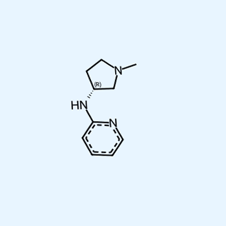 CN1CC[C@@H](Nc2ccccn2)C1